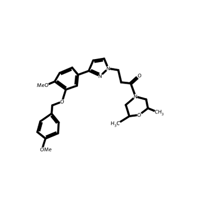 COc1ccc(COc2cc(-c3ccn(CCC(=O)N4CC(C)OC(C)C4)n3)ccc2OC)cc1